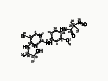 COc1cc(Nc2ncc(Br)c(N[C@H](C)[C@@H](C)O)n2)ccc1NC(=O)S(C)(C)N=O